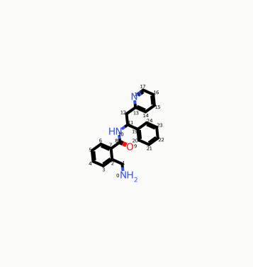 NCc1ccccc1C(=O)NC(Cc1ccccn1)c1ccccc1